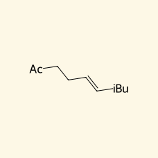 CCC(C)C=CCCC(C)=O